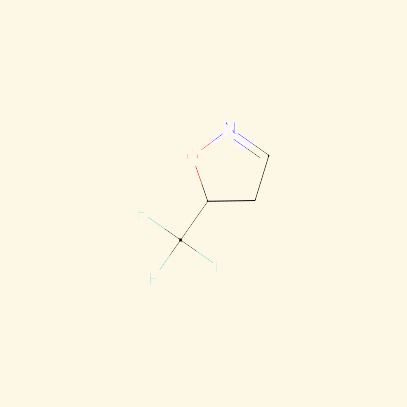 FC(F)(F)C1[CH]C=NO1